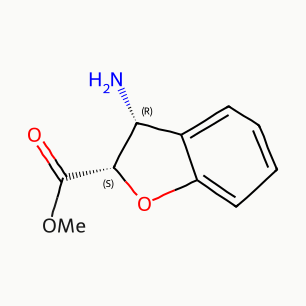 COC(=O)[C@H]1Oc2ccccc2[C@H]1N